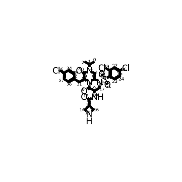 CC(C)N1CC2N(C(=O)C(NC(=O)C3CNC3)CN2S(=O)(=O)c2ccc(Cl)cc2Cl)C(Cc2ccc(Cl)cc2)C1=O